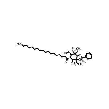 CCCCCCCCCCCCCCCCCC(=O)C1/C(=N\O)C(C)(CC)N(OC(C)c2ccccc2)C(C)(CC)C1C